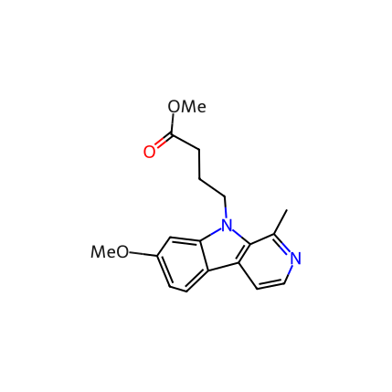 COC(=O)CCCn1c2cc(OC)ccc2c2ccnc(C)c21